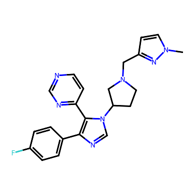 Cn1ccc(CN2CCC(n3cnc(-c4ccc(F)cc4)c3-c3ccncn3)C2)n1